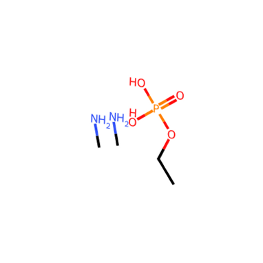 CCOP(=O)(O)O.CN.CN